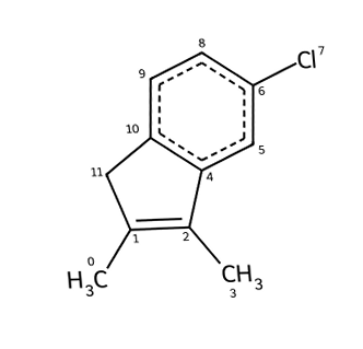 CC1=C(C)c2cc(Cl)ccc2C1